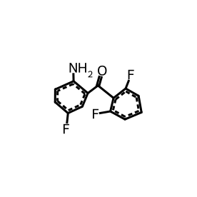 Nc1ccc(F)cc1C(=O)c1c(F)cccc1F